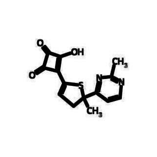 Cc1nccc(C2(C)CC=C(c3c(O)c(=O)c3=O)S2)n1